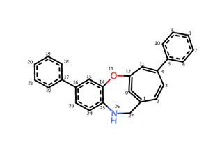 C1=C2C=CC(c3ccccc3)=CC=1Oc1cc(-c3ccccc3)ccc1NC2